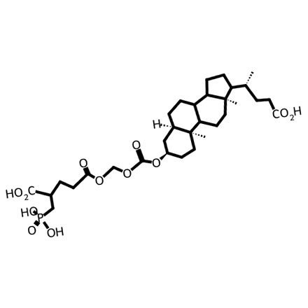 C[C@H](CCC(=O)O)C1CCC2C3CC[C@@H]4C[C@H](OC(=O)OCOC(=O)CCC(CP(=O)(O)O)C(=O)O)CC[C@]4(C)C3CC[C@@]21C